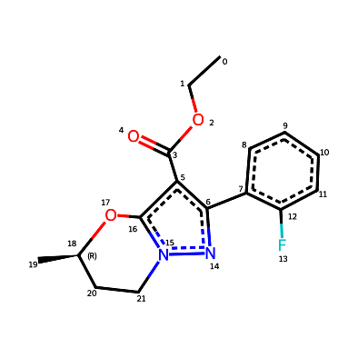 CCOC(=O)c1c(-c2ccccc2F)nn2c1O[C@H](C)CC2